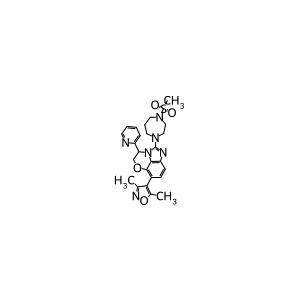 Cc1noc(C)c1-c1ccc2nc(N3CCCN(S(C)(=O)=O)CC3)n3c2c1OCC3c1ccccn1